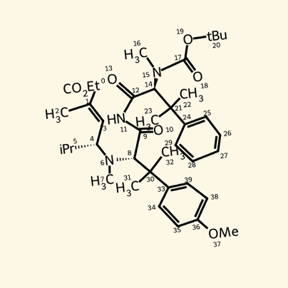 CCOC(=O)/C(C)=C/[C@@H](C(C)C)N(C)[C@H](C(=O)NC(=O)[C@@H](N(C)C(=O)OC(C)(C)C)C(C)(C)c1ccccc1)C(C)(C)c1ccc(OC)cc1